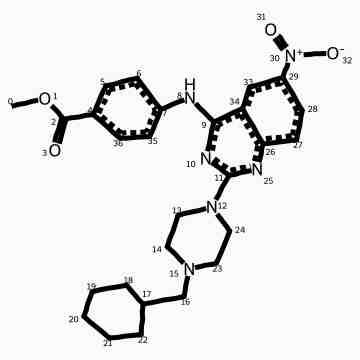 COC(=O)c1ccc(Nc2nc(N3CCN(CC4CCCCC4)CC3)nc3ccc([N+](=O)[O-])cc23)cc1